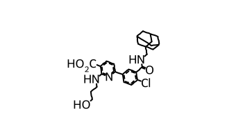 O=C(NCC12CC3CC(CC(C3)C1)C2)c1cc(-c2ccc(C(=O)O)c(NCCCO)n2)ccc1Cl